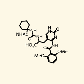 COc1cccc(OC)c1C(=O)Nc1nc(=O)[nH]cc1CC(NC(=O)NC1(NC(C)=O)CCCCC1)C(=O)O